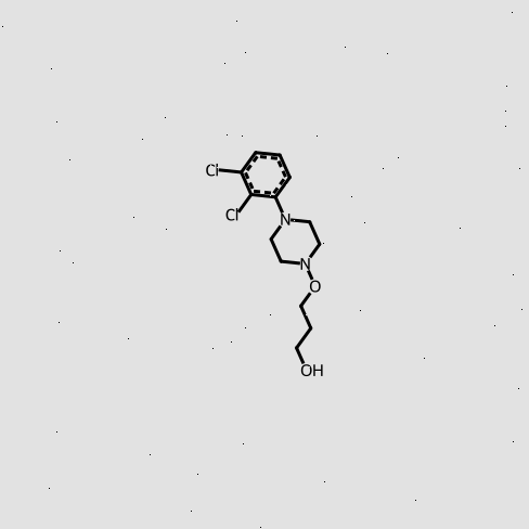 OCCCON1CCN(c2cccc(Cl)c2Cl)CC1